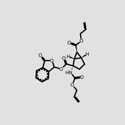 C=CCOC(=O)N[C@@]1(C(=O)OC2OC(=O)c3ccccc32)CC[C@H]2[C@H](C(=O)OCC=C)[C@H]21